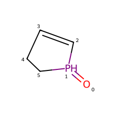 O=[PH]1C=CCC1